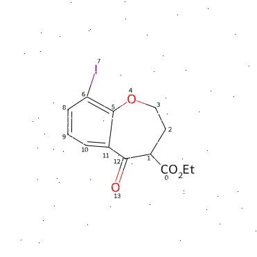 CCOC(=O)C1CCOc2c(I)cccc2C1=O